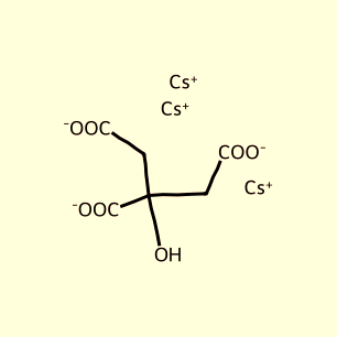 O=C([O-])CC(O)(CC(=O)[O-])C(=O)[O-].[Cs+].[Cs+].[Cs+]